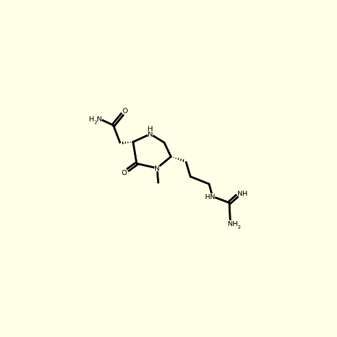 CN1C(=O)[C@H](CC(N)=O)NC[C@@H]1CCCNC(=N)N